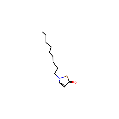 CCCCCCCCCn1ccc(=O)s1